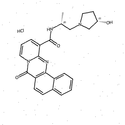 C[C@H](CN1CC[C@H](O)C1)NC(=O)c1cccn2c(=O)c3ccc4ccccc4c3nc12.Cl